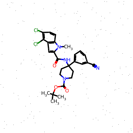 Cn1c(C(=O)NC2(c3cccc(C#N)c3)CCN(C(=O)OC(C)(C)C)CC2)cc2c(Cl)c(Cl)ccc21